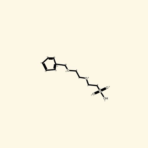 O=S(=O)(O)CCOCCOCc1ccccc1